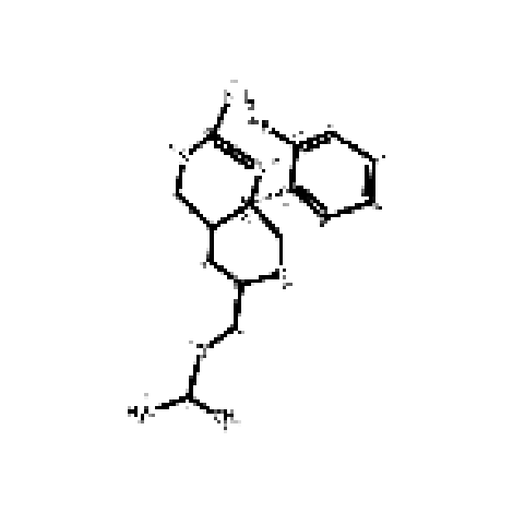 CC(C)OCC1CC2CSC(N)=N[C@@]2(c2ccccc2F)CO1